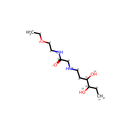 CCOCCNC(=O)CNCCC(O)C(O)CC